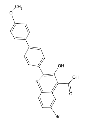 COc1ccc(-c2ccc(-c3nc4ccc(Br)cc4c(C(=O)O)c3O)cc2)cc1